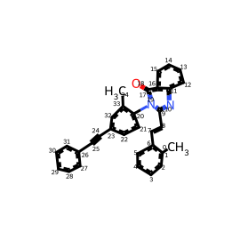 Cc1ccccc1C=Cc1nc2ccccc2c(=O)n1-c1ccc(C#Cc2ccccc2)cc1C